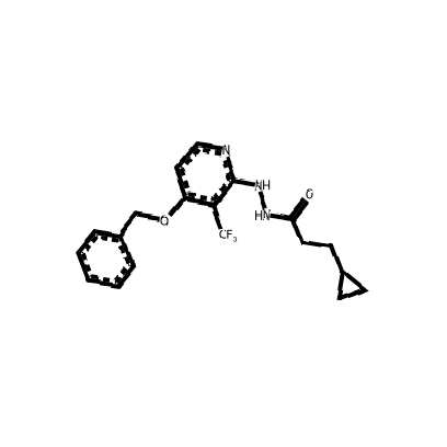 O=C(CCC1CC1)NNc1nccc(OCc2ccccc2)c1C(F)(F)F